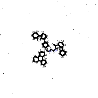 C=C1/C(=C\C=C\N(C2=CC=C3C4=CC=CCC4c4ccccc4C3C2)c2ccc(-c3cccc4c3oc3ccccc34)cc2)n2c3c(c4ccccc42)C=CCC13